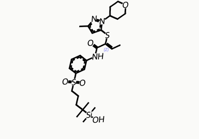 C/C=C(\Sc1cc(C)nn1C1CCOCC1)C(=O)Nc1cccc(S(=O)(=O)CCCC(C)(C)[Si](C)(C)O)c1